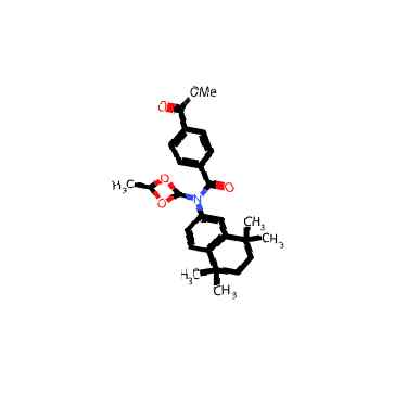 COC(=O)c1ccc(C(=O)N(c2ccc3c(c2)C(C)(C)CCC3(C)C)C2OC(C)O2)cc1